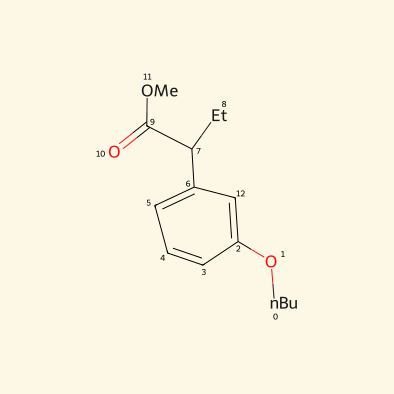 CCCCOc1cccc(C(CC)C(=O)OC)c1